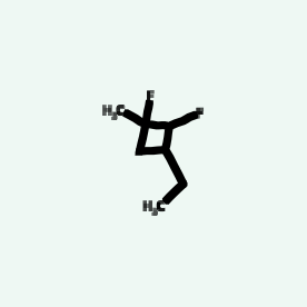 CCC1CC(C)(F)C1F